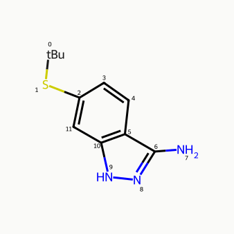 CC(C)(C)Sc1ccc2c(N)n[nH]c2c1